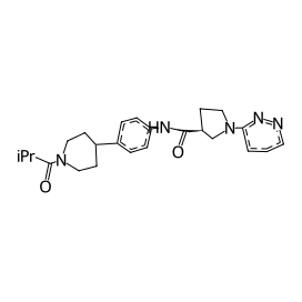 CC(C)C(=O)N1CCC(c2ccc(NC(=O)[C@H]3CCN(c4cccnn4)C3)cc2)CC1